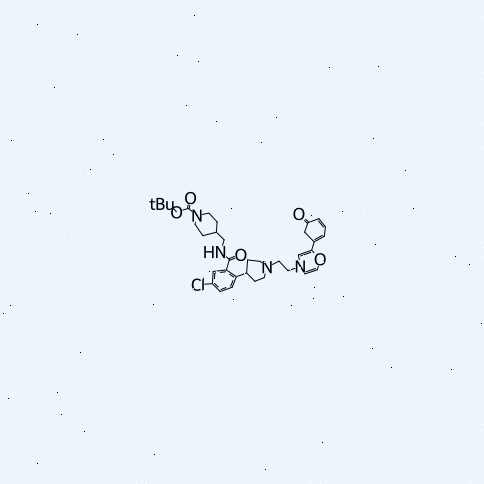 CC(C)(C)OC(=O)N1CCC(CNC(=O)c2cc(Cl)ccc2C2CCN(CCN3C=COC(C4=CC=CC(=O)C4)=C3)CC2)CC1